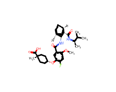 COc1cc(F)c(O[C@H]2CC[C@@](C)(C(=O)O)CC2)cc1C(=O)N[C@@H]1[C@H]2CC[C@H](C2)[C@@H]1C(=O)N[C@H](C)C(C)C